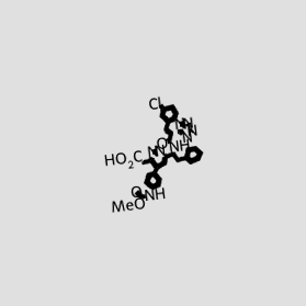 COC(=O)Nc1ccc(-c2cc(C(Cc3ccccc3)NC(=O)C=Cc3cc(Cl)ccc3-n3cnnn3)nnc2CC(=O)O)cc1